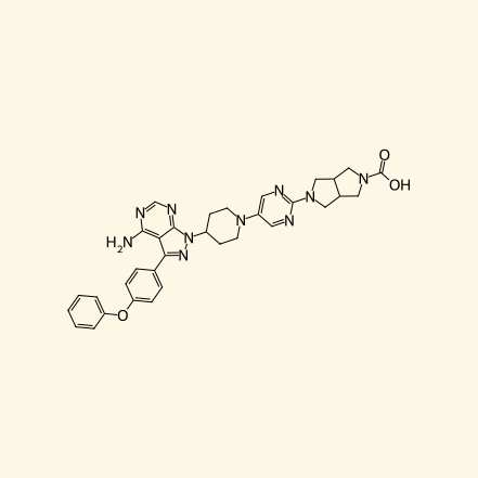 Nc1ncnc2c1c(-c1ccc(Oc3ccccc3)cc1)nn2C1CCN(c2cnc(N3CC4CN(C(=O)O)CC4C3)nc2)CC1